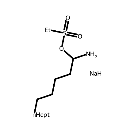 CCCCCCCCCCCC(N)OS(=O)(=O)CC.[NaH]